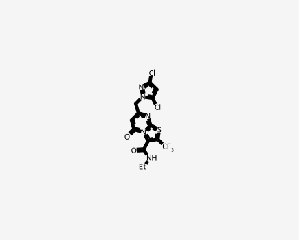 CCNC(=O)c1c(C(F)(F)F)sc2nc(Cn3nc(Cl)cc3Cl)cc(=O)n12